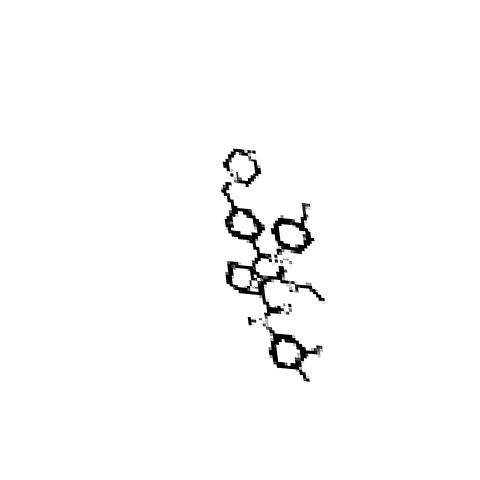 CCOC(=O)C1=C(C(=O)Nc2ccc(C)c(F)c2)C2C=CC1(C(Oc1ccc(F)cc1)c1ccc(CN3CCOCC3)cc1)O2